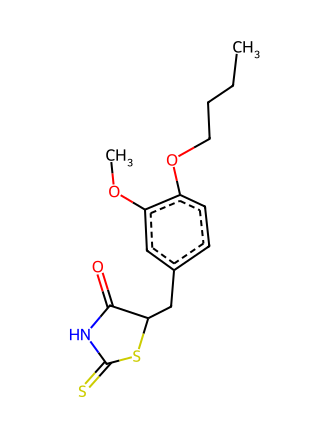 CCCCOc1ccc(CC2SC(=S)NC2=O)cc1OC